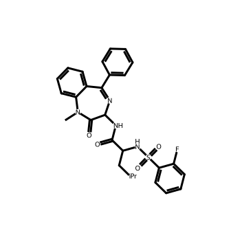 CC(C)CC(NS(=O)(=O)c1ccccc1F)C(=O)NC1N=C(c2ccccc2)c2ccccc2N(C)C1=O